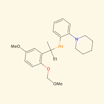 CCC(C)(Pc1ccccc1N1CCCCC1)c1cc(OC)ccc1OCOC